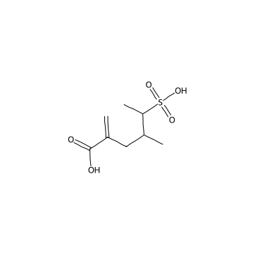 C=C(CC(C)C(C)S(=O)(=O)O)C(=O)O